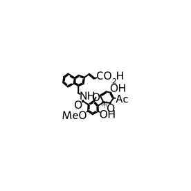 COc1cc(O)c2c(c1C(=O)NCc1cc(C=CC(=O)O)cc3ccccc13)OC1=CC(O)=C(C(C)=O)C(=O)[C@]12C